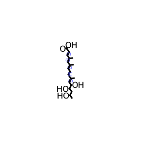 CC(=C\C=C\C(C)=C\C(O)C(O)CC(C)O)/C=C(C)/C=C/C(=O)O